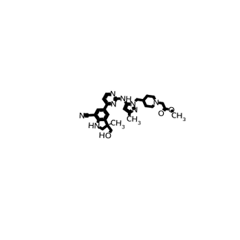 COC(=O)CN1CCC(Cn2nc(C)cc2Nc2nccc(-c3cc(C#N)c4c(c3)[C@@](C)(CO)CN4)n2)CC1